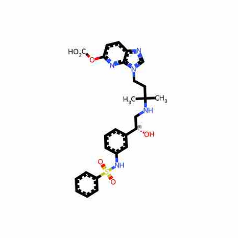 CC(C)(CCn1cnc2ccc(OC(=O)O)nc21)NC[C@H](O)c1cccc(NS(=O)(=O)c2ccccc2)c1